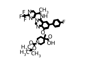 C[C@@H](Nc1ncnc2c(OCC3(C(=O)O)CCN(C(=O)OC(C)(C)C)CC3)cc(-c3ccc(F)cc3)cc12)c1cnc(C(F)(F)F)nc1